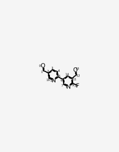 O=Cc1ccc(-c2cnc(F)c(C=O)c2)nc1